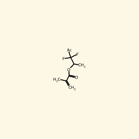 C=C(C)C(=O)OC(C)C(F)(F)C(C)=O